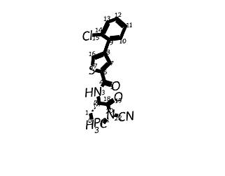 CC(C)C[C@H](NC(=O)c1cc(-c2ccccc2Cl)cs1)C(=O)N(C)C#N